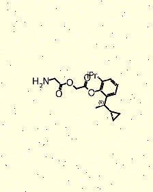 CC(C)c1cccc([C@H](C)C2CC2)c1OC(=O)COC(=O)CN